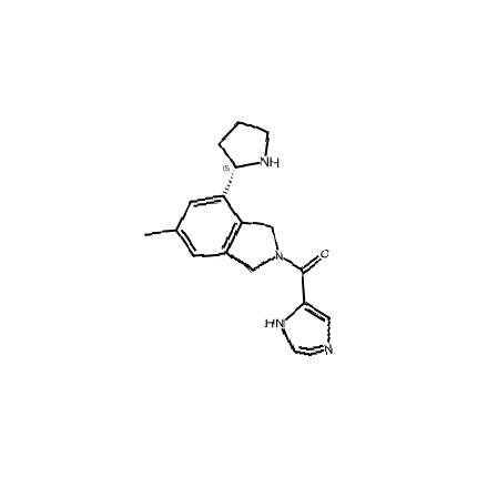 Cc1cc2c(c([C@@H]3CCCN3)c1)CN(C(=O)c1cnc[nH]1)C2